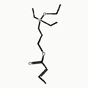 CC=CC(=O)OCCC[Si](CC)(CC)OCC